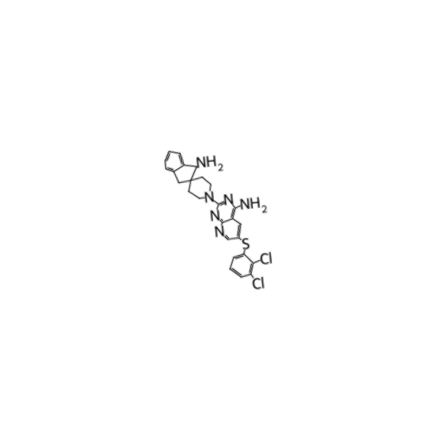 Nc1nc(N2CCC3(CC2)Cc2ccccc2[C@H]3N)nc2ncc(Sc3cccc(Cl)c3Cl)cc12